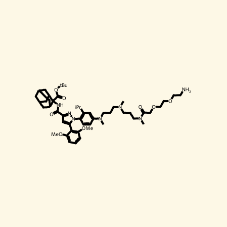 COc1cccc(OC)c1-c1cc(C(=O)NC2(C(=O)OC(C)(C)C)C3CC4CC(C3)CC2C4)nn1-c1ccc(N(C)CCCN(C)CCCN(C)C(=O)COCCOCCN)cc1C(C)C